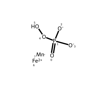 O=P([O-])([O-])OO.[Fe+2].[Mn]